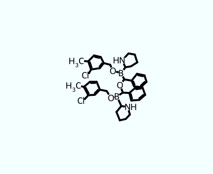 Cc1ccc(COB(C2CCCCN2)C(OC(B(OCc2ccc(C)c(Cl)c2)C2CCCCN2)c2ccccc2)c2ccccc2)cc1Cl